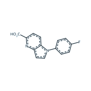 O=C(O)c1ccc2c(ccn2-c2ccc(F)cc2)n1